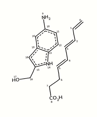 C=CC=CC=CCCC(=O)O.Nc1ccc2[nH]c(CO)cc2c1